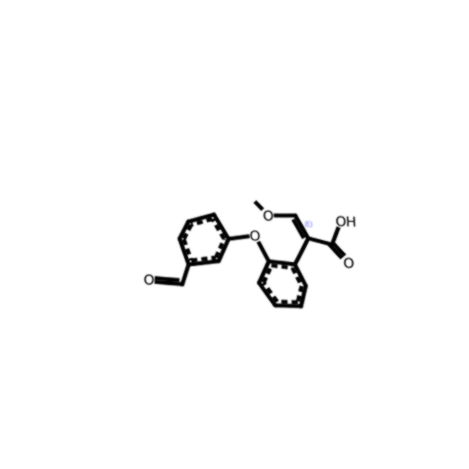 CO/C=C(/C(=O)O)c1ccccc1Oc1cccc(C=O)c1